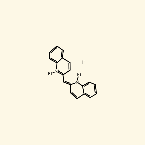 CCN1C(=Cc2ccc3ccccc3[n+]2CC)C=Cc2ccccc21.[I-]